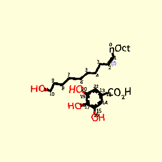 CCCCCCCC/C=C\CCCCCCCCO.O=C(O)c1cc(O)c(O)c(O)c1